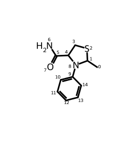 CC1SCC(C(N)=O)N1c1ccccc1